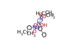 CC(C)c1cccc(NC(=O)c2cc(-c3ccccc3)cc(O)c2C(=O)N2CCN(C(=O)OC(C)(C)C)CC2)c1